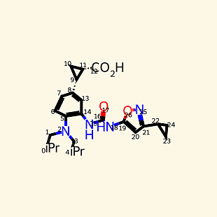 CC(C)CN(CC(C)C)c1ccc([C@@H]2C[C@@H]2C(=O)O)cc1NC(=O)Nc1cc(C2CC2)no1